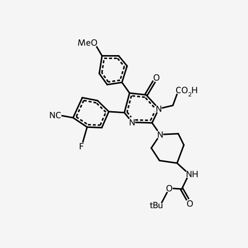 COc1ccc(-c2c(-c3ccc(C#N)c(F)c3)nc(N3CCC(NC(=O)OC(C)(C)C)CC3)n(CC(=O)O)c2=O)cc1